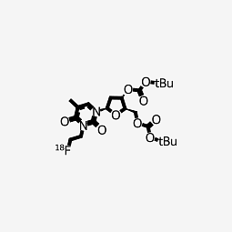 Cc1cn([C@H]2C[C@H](OC(=O)OC(C)(C)C)[C@@H](COC(=O)OC(C)(C)C)O2)c(=O)n(CC[18F])c1=O